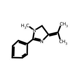 CC(C)=C1CN(C)C(c2ccccc2)=N1